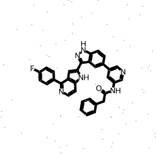 O=C(Cc1ccccc1)Nc1cncc(-c2ccc3[nH]nc(-c4cc5c(-c6ccc(F)cc6)nccc5[nH]4)c3c2)c1